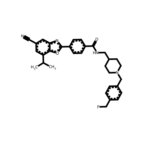 CC(C)c1cc(C#N)cc2nc(-c3ccc(C(=O)NCC4CCN(Cc5ccc(CF)cc5)CC4)cc3)oc12